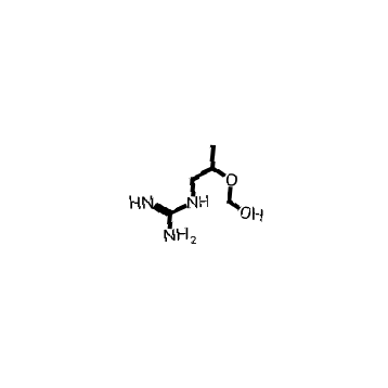 CC(CNC(=N)N)OCO